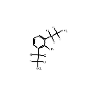 CC[CH]c1c(C(Cl)(Cl)C(Cl)(Cl)C(Cl)(Cl)Cl)cccc1C(Cl)(Cl)C(Cl)(Cl)C(Cl)(Cl)Cl